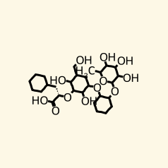 CC1OC(OC2CCCCC2OC2CC(CO)C(O)C(O[C@@H](CC3CCCCC3)C(=O)O)C2O)C(O)C(O)C1O